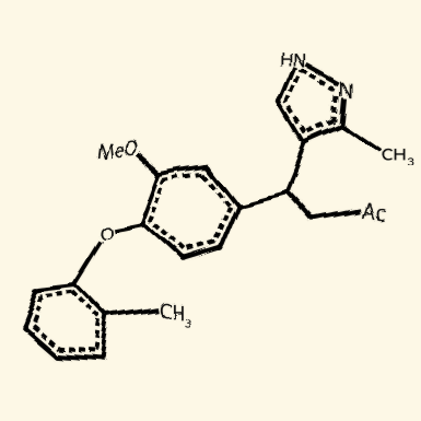 COc1cc(C(CC(C)=O)c2c[nH]nc2C)ccc1Oc1ccccc1C